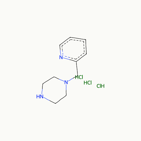 Cl.Cl.Cl.c1ccc(CN2CCNCC2)nc1